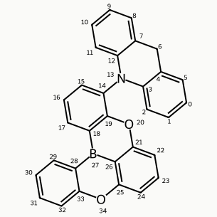 c1ccc2c(c1)Cc1ccccc1N2c1cccc2c1Oc1cccc3c1B2c1ccccc1O3